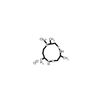 CC1CCNC(C)CC[N]([Ti+3])C(C)CCN1.[Cl-].[Cl-].[Cl-]